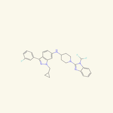 Fc1cccc(-c2nn(CC3CC3)c3cc(NC4CCN(c5nc6ccccc6n5C(F)F)CC4)ccc23)c1